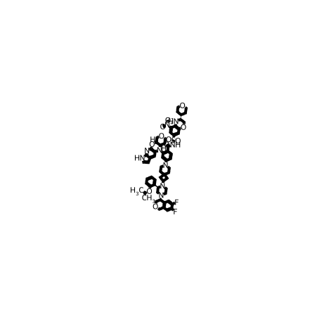 CC(C)Oc1ccccc1[C@@H]1CN([C@@H]2COCc3cc(F)c(F)cc32)CCN1C1CC2(CCN(c3ccc(C(=O)NS(=O)(=O)c4cc5c(c([N+](=O)[O-])c4)N[C@H](C4CCOCC4)CO5)c(N4c5cc6cc[nH]c6nc5O[C@H]5COCC[C@@H]54)c3)CC2)C1